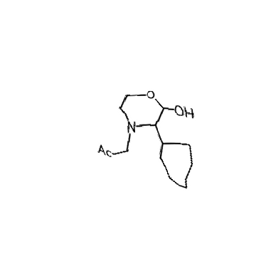 CC(=O)CN1CCOC(O)C1C1CCCCC1